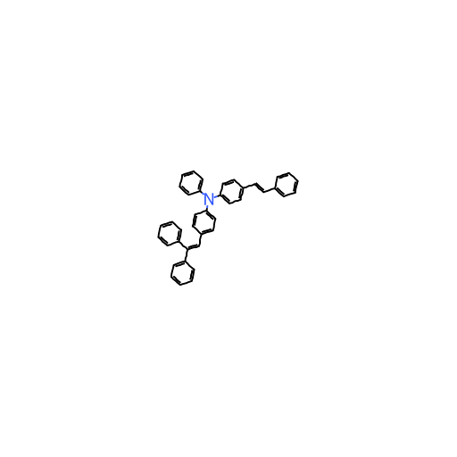 C(=Cc1ccc(N(c2ccccc2)c2ccc(C=C(c3ccccc3)c3ccccc3)cc2)cc1)c1ccccc1